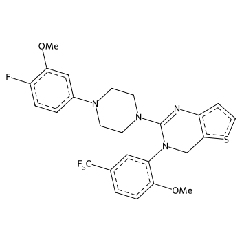 COc1cc(N2CCN(C3=Nc4ccsc4CN3c3cc(C(F)(F)F)ccc3OC)CC2)ccc1F